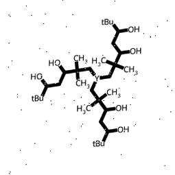 CC(C)(C)C(O)CC(O)C(C)(C)[CH2][Y]([CH2]C(C)(C)C(O)CC(O)C(C)(C)C)[CH2]C(C)(C)C(O)CC(O)C(C)(C)C